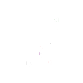 C[PH](=O)OCCCCl